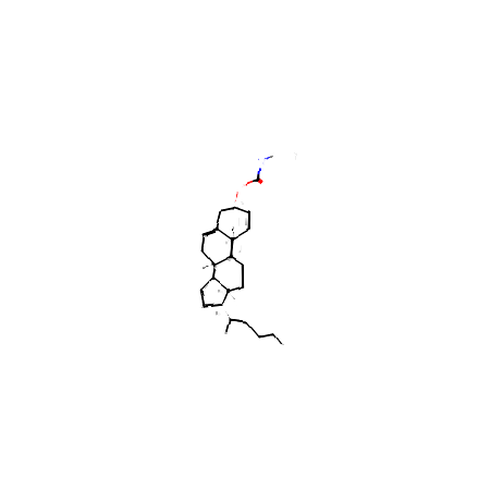 CCCCCCCNC(=O)O[C@H]1CC[C@@]2(C)C(=CC[C@H]3C4CC[C@H](C(C)CCCC(C)C)[C@@]4(C)CC[C@@H]32)C1